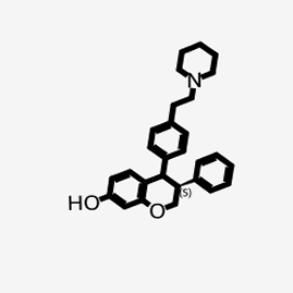 Oc1ccc2c(c1)OC[C@H](c1ccccc1)C2c1ccc(CCN2CCCCC2)cc1